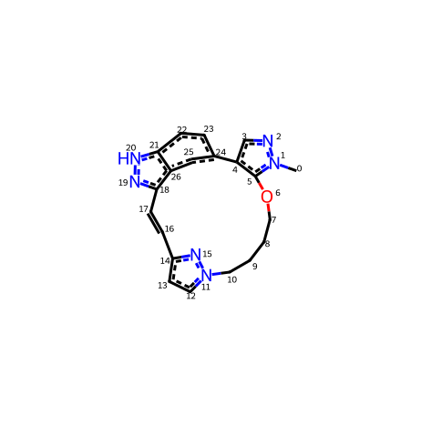 Cn1ncc2c1OCCCCn1ccc(n1)/C=C/c1n[nH]c3ccc-2cc13